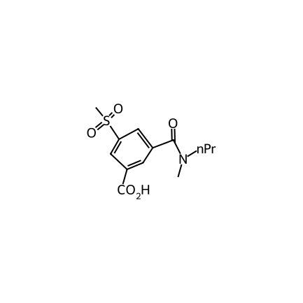 CCCN(C)C(=O)c1cc(C(=O)O)cc(S(C)(=O)=O)c1